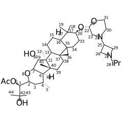 CC(=O)O[C@@H](C1C[C@@H](C)[C@H]2C(O1)[C@H](O)[C@@]1(C)C3CC[C@H]4C(C)(C)[C@@H](O[C@H]5CN(C6CN(C(C)C)C6)CCO5)CCC45C[C@@]35CC[C@]21C)C(C)(C)O